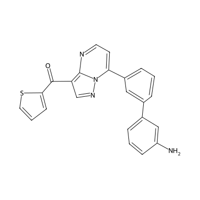 Nc1cccc(-c2cccc(-c3ccnc4c(C(=O)c5cccs5)cnn34)c2)c1